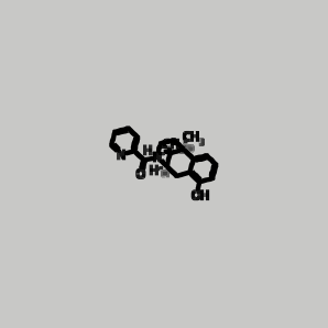 CC1(C)[C@H]2Cc3c(O)cccc3[C@]1(C)CCN2C(=O)c1ccccn1